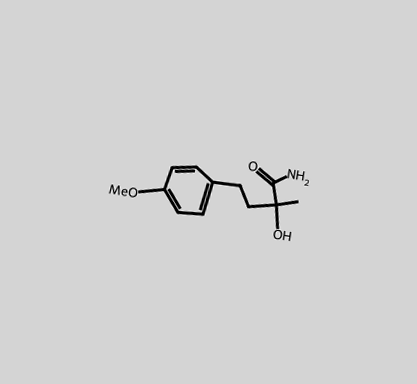 COc1ccc(CCC(C)(O)C(N)=O)cc1